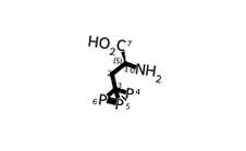 N[C@@H](CC12P=P1=P2)C(=O)O